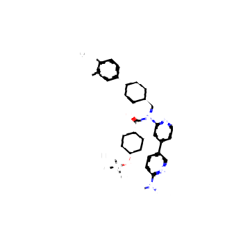 COc1ccc([C@H]2CC[C@H](CN(c3cc(-c4ccc(N(C)C)nc4)ccn3)C(=O)[C@H]3CC[C@H](O[Si](C)(C)C(C)(C)C)CC3)CC2)cc1C